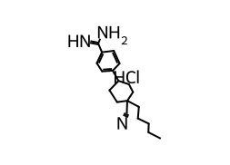 CCCCCC1(C#N)CCC(c2ccc(C(=N)N)cc2)CC1.Cl